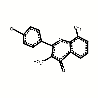 Cc1cccc2c(=O)c(C(=O)O)c(-c3ccc(Cl)cc3)oc12